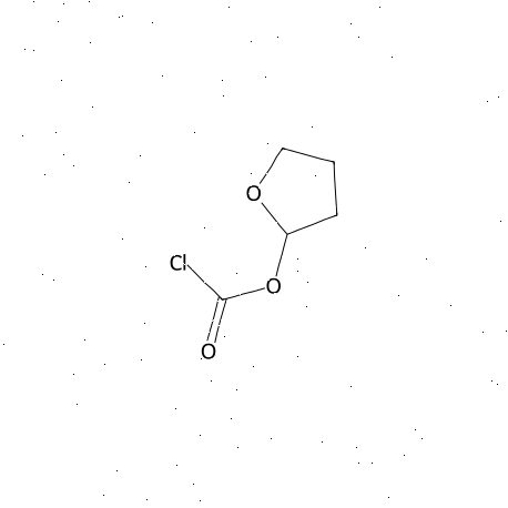 O=C(Cl)OC1CCCO1